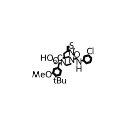 COc1cc(C(=O)N2CCN(C(=O)Nc3cccc(Cl)c3)CC2(Cc2cscn2)C(=O)O)ccc1C(C)(C)C